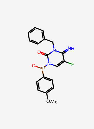 COc1ccc([S+]([O-])n2cc(F)c(=N)n(Cc3ccccc3)c2=O)cc1